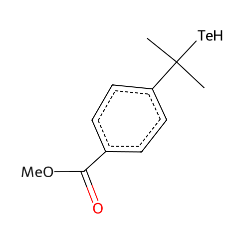 COC(=O)c1ccc(C(C)(C)[TeH])cc1